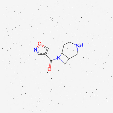 O=C(c1cnoc1)N1CC2CNCCC21